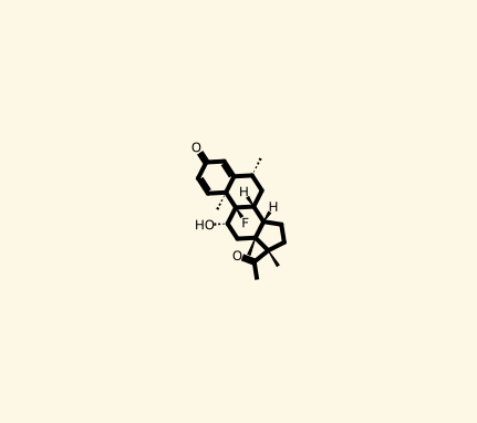 CC(=O)[C@@]1(C)CC[C@H]2[C@H]3C[C@@H](C)C4=CC(=O)C=C[C@]4(C)[C@@]3(F)[C@@H](O)C[C@]21C